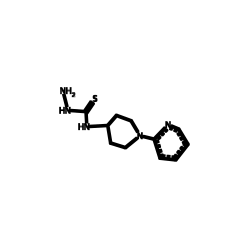 NNC(=S)NC1CCN(c2ccccn2)CC1